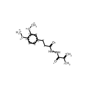 C=C(C)C(=O)NNC(=O)CCc1ccc(OC)c(OC)c1